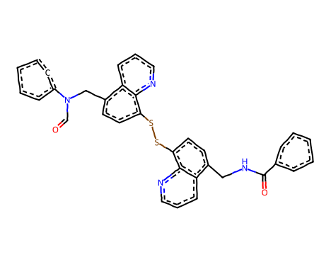 O=CN(Cc1ccc(SSc2ccc(CNC(=O)c3ccccc3)c3cccnc23)c2ncccc12)c1ccccc1